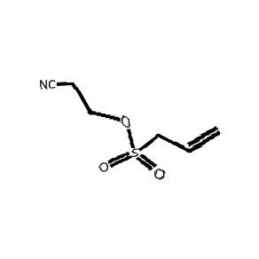 C=CCS(=O)(=O)OCCC#N